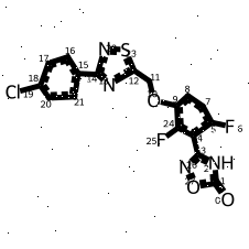 O=c1[nH]c(-c2c(F)ccc(OCc3nc(-c4ccc(Cl)cc4)ns3)c2F)no1